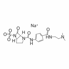 CN(C)CCNC(=O)c1ccc(NC(=O)N2CC[C@@H]3[C@H]2C(=O)N3S(=O)(=O)[O-])cc1.[Na+]